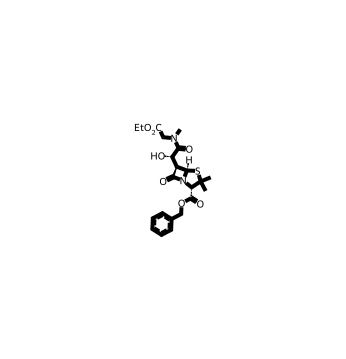 CCOC(=O)CN(C)C(=O)[C@@H](O)[C@@H]1C(=O)N2[C@@H]1SC(C)(C)[C@@H]2C(=O)OCc1ccccc1